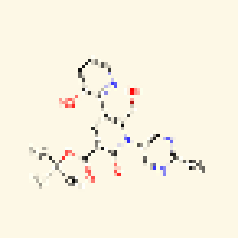 Cc1ncc(-n2c(CO)c(-c3ncccc3O)cc(C(=O)OC(C)(C)C)c2=O)cn1